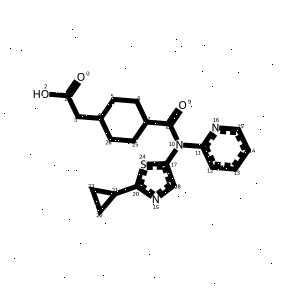 O=C(O)CC1CCC(C(=O)N(c2ccccn2)c2cnc(C3CC3)s2)CC1